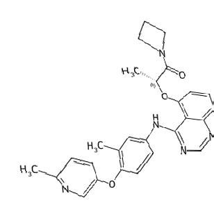 Cc1ccc(Oc2ccc(Nc3ncnc4cccc(O[C@H](C)C(=O)N5CCC5)c34)cc2C)cn1